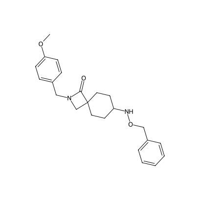 COc1ccc(CN2CC3(CCC(NOCc4ccccc4)CC3)C2=O)cc1